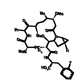 CC[C@H](C)C(CCC(I)C(=O)C(NC(=O)[C@@H](NC)C(C)C)C(C)C)[C@@H](CC(=O)N1C2C[C@@H]2C[C@H]1[C@H](OC)[C@@H](C)C(=O)N[C@@H](Cc1ccccc1F)C(=O)O)OC